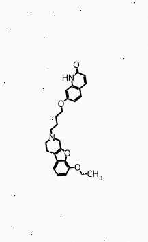 CCOc1cccc2c3c(oc12)CN(CCCCOc1ccc2ccc(=O)[nH]c2c1)CC3